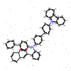 C1=CC2C=CC(c3ccccc3N(c3ccc(-c4ccccc4)cc3)c3ccc(-c4ccc(-n5c6ccccc6c6ccccc65)cc4)cc3)=CC2C=C1